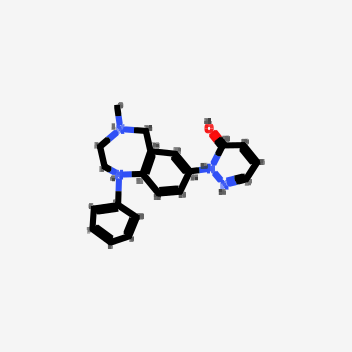 CN1CCN(c2ccccc2)c2ccc(-n3ncccc3=O)cc2C1